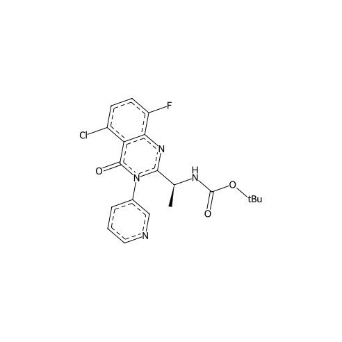 C[C@H](NC(=O)OC(C)(C)C)c1nc2c(F)ccc(Cl)c2c(=O)n1-c1cccnc1